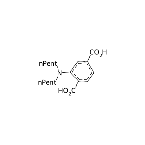 CCCCCN(CCCCC)c1cc(C(=O)O)ccc1C(=O)O